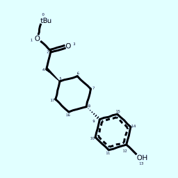 CC(C)(C)OC(=O)C[C@H]1CC[C@H](c2ccc(O)cc2)CC1